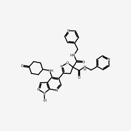 CCn1ncc2c(NC3CCC(=O)CC3)c(C3=NOC(C(=O)NCc4ccncc4)(C(=O)NCc4ccncc4)C3)cnc21